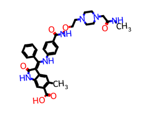 CNC(=O)CN1CCN(CCONC(=O)c2ccc(N/C(=C3/C(=O)Nc4cc(C(=O)O)c(C)cc43)c3ccccc3)cc2)CC1